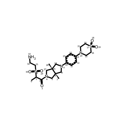 CC(C(=O)N1C[C@@]2(C)CN(c3ccc(N4CCS(=O)(=O)CC4)cc3)C[C@@]2(C)C1)S(=O)(=O)CCN